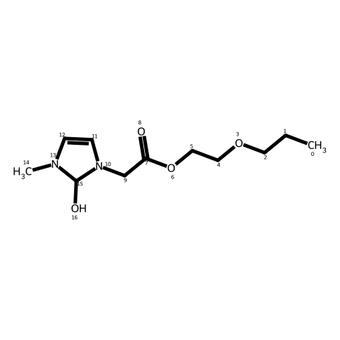 CCCOCCOC(=O)CN1C=CN(C)C1O